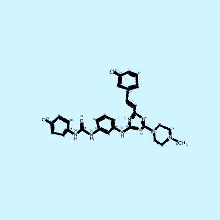 CN1CCN(c2nc(/C=C/c3cccc(Cl)c3)nc(Nc3cccc(NC(=O)Nc4ccc(Cl)cc4)c3)n2)CC1